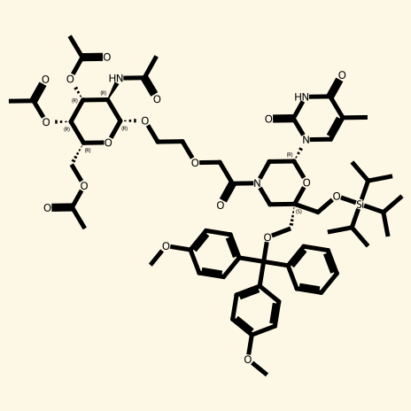 COc1ccc(C(OC[C@]2(CO[Si](C(C)C)(C(C)C)C(C)C)CN(C(=O)COCCO[C@@H]3O[C@H](COC(C)=O)[C@H](OC(C)=O)[C@H](OC(C)=O)[C@H]3NC(C)=O)C[C@H](n3cc(C)c(=O)[nH]c3=O)O2)(c2ccccc2)c2ccc(OC)cc2)cc1